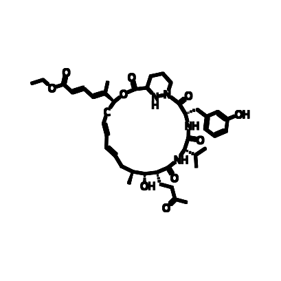 CCOC(=O)/C=C/C=C(\C)[C@@H]1C/C=C/C=C/C[C@H](C)[C@@H](O)[C@@H](CCC(C)=O)C(=O)N[C@@H](C(C)C)C(=O)N[C@@H](Cc2cccc(O)c2)C(=O)N2CCCC(N2)C(=O)O1